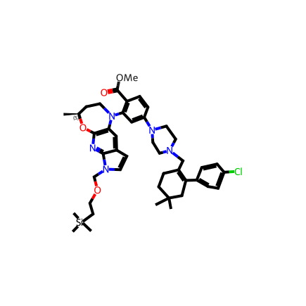 COC(=O)c1ccc(N2CCN(CC3=C(c4ccc(Cl)cc4)CC(C)(C)CC3)CC2)cc1N1CC[C@H](C)Oc2nc3c(ccn3COCC[Si](C)(C)C)cc21